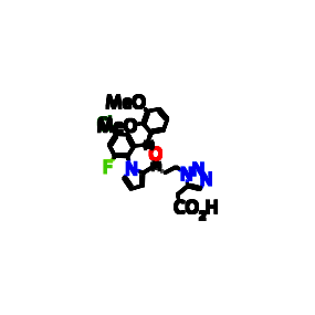 COc1cccc([C@H]2O[C@H](CCn3nncc3CC(=O)O)c3cccn3-c3c(F)cc(Cl)cc32)c1OC